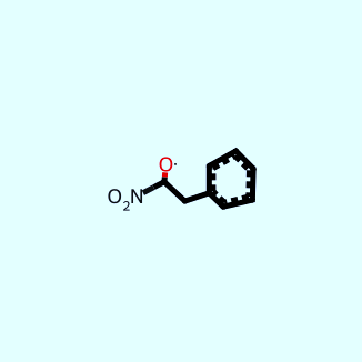 [O]C(Cc1ccccc1)[N+](=O)[O-]